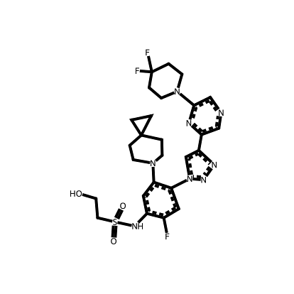 O=S(=O)(CCO)Nc1cc(N2CCC3(CC2)CC3)c(-n2cc(-c3cncc(N4CCC(F)(F)CC4)n3)nn2)cc1F